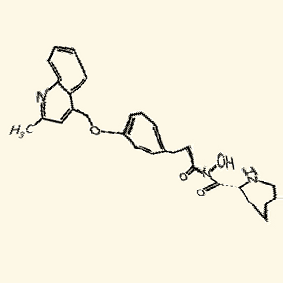 Cc1cc(COc2ccc(CC(=O)N(O)C(=O)[C@H]3CCCCN3)cc2)c2ccccc2n1